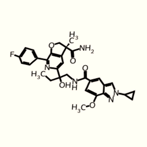 CCC(O)(CNC(=O)c1cc(OC)c2nn(C3CC3)cc2c1)c1cc2c(c(-c3ccc(F)cc3)n1)OC[C@]2(C)C(N)=O